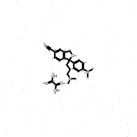 CN(C)CCCC1(c2ccc(N(C)C)cc2)OCc2cc(C#N)ccc21.O=C(O)C(=O)O